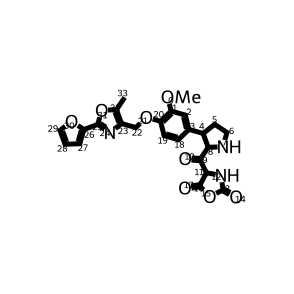 COc1cc(C2CCNC2C(=O)C2NC(=O)OC2=O)ccc1OCc1nc(-c2ccco2)oc1C